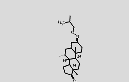 CC(N)CO/N=C1/CC[C@@]2(C)C(C1)C[C@@H](C)[C@@H]1[C@@H]2CC[C@]2(C)C(=O)CC[C@@H]12